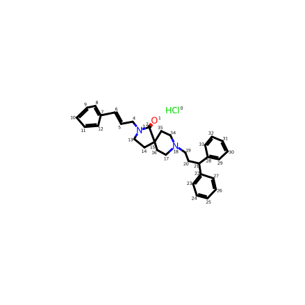 Cl.O=C1N(C/C=C/c2ccccc2)CCC12CCN(CCC(c1ccccc1)c1ccccc1)CC2